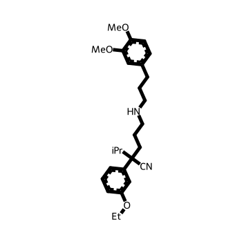 CCOc1cccc(C(C#N)(CCCNCCCc2ccc(OC)c(OC)c2)C(C)C)c1